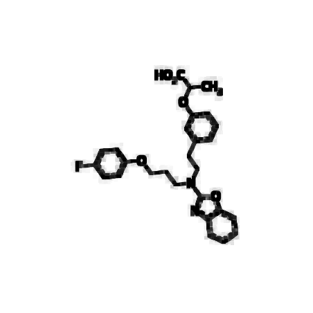 CC(Oc1cccc(CCN(CCCOc2ccc(F)cc2)c2nc3ccccc3o2)c1)C(=O)O